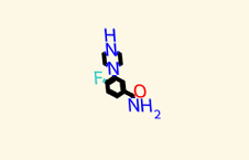 NC(=O)c1ccc(F)c(N2CCNCC2)c1